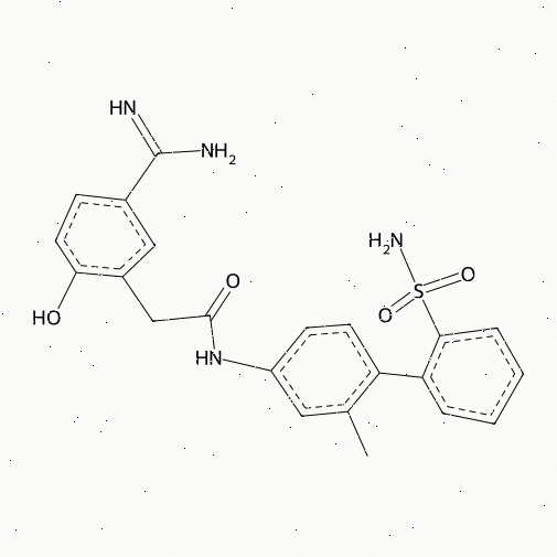 Cc1cc(NC(=O)Cc2cc(C(=N)N)ccc2O)ccc1-c1ccccc1S(N)(=O)=O